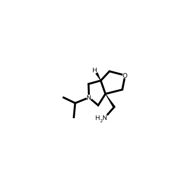 CC(C)N1C[C@@H]2COC[C@]2(CN)C1